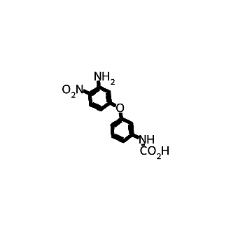 Nc1cc(Oc2cccc(NC(=O)O)c2)ccc1[N+](=O)[O-]